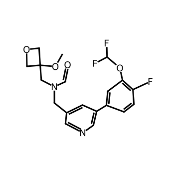 COC1(CN(C=O)Cc2cncc(-c3ccc(F)c(OC(F)F)c3)c2)COC1